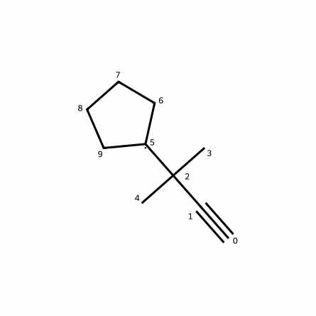 C#CC(C)(C)[C]1CCCC1